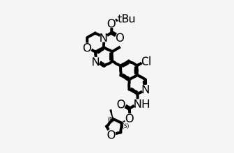 Cc1c(-c2cc(Cl)c3cnc(NC(=O)O[C@@H]4COC[C@H]4C)cc3c2)cnc2c1N(C(=O)OC(C)(C)C)CCO2